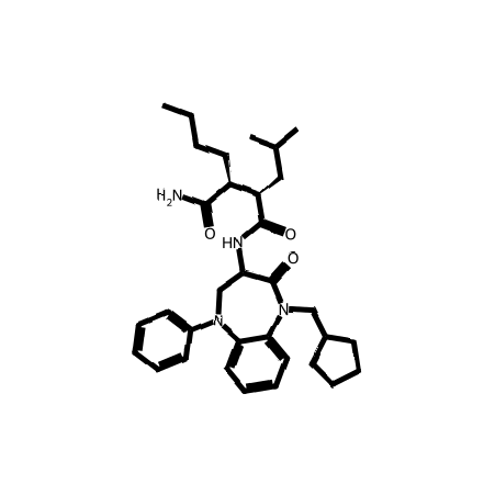 CCCC[C@H](C(N)=O)[C@@H](CC(C)C)C(=O)NC1CN(c2ccccc2)c2ccccc2N(CC2CCCC2)C1=O